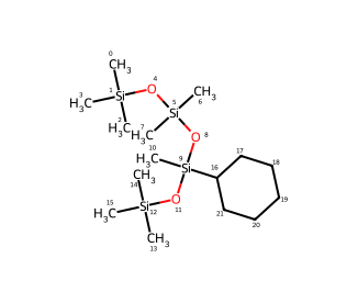 C[Si](C)(C)O[Si](C)(C)O[Si](C)(O[Si](C)(C)C)C1CCCCC1